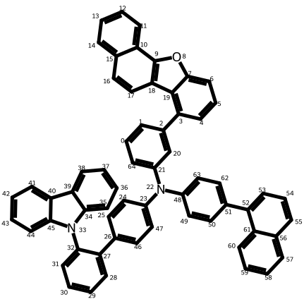 c1cc(-c2cccc3oc4c5ccccc5ccc4c23)cc(N(c2ccc(-c3ccccc3-n3c4ccccc4c4ccccc43)cc2)c2ccc(-c3cccc4ccccc34)cc2)c1